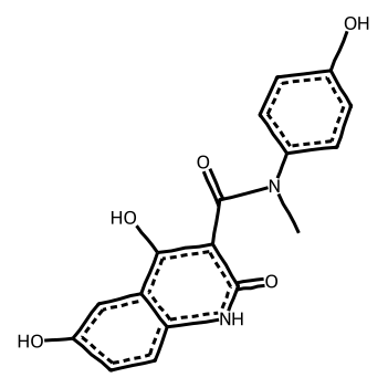 CN(C(=O)c1c(O)c2cc(O)ccc2[nH]c1=O)c1ccc(O)cc1